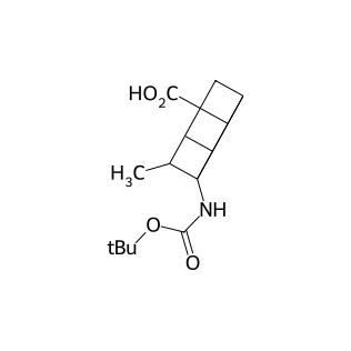 CC1C2C3C4C(CC24C(=O)O)C13NC(=O)OC(C)(C)C